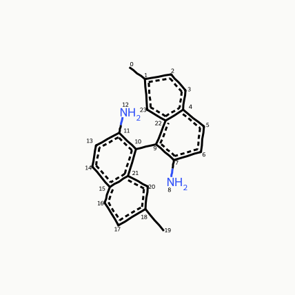 Cc1ccc2ccc(N)c(-c3c(N)ccc4ccc(C)cc34)c2c1